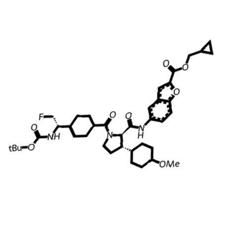 COC1CCC([C@@H]2CCN(C(=O)C3CCC([C@@H](CF)NC(=O)OC(C)(C)C)CC3)[C@H]2C(=O)Nc2ccc3oc(C(=O)OCC4CC4)cc3c2)CC1